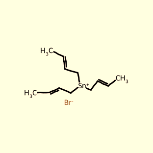 C/C=C/[CH2][Sn+]([CH2]/C=C/C)[CH2]/C=C/C.[Br-]